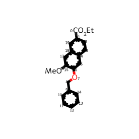 CCOC(=O)c1ccc2cc(OCc3ccccc3)c(OC)cc2c1